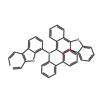 C=Cc1oc2c(N(c3ccccc3-c3ccccc3)c3cc4c5ccccc5sc4c4ccccc34)cccc2c1/C=C\C